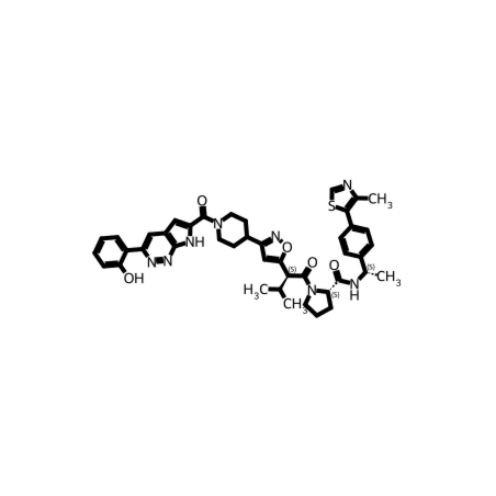 Cc1ncsc1-c1ccc([C@H](C)NC(=O)[C@@H]2CCCN2C(=O)[C@H](c2cc(C3CCN(C(=O)c4cc5cc(-c6ccccc6O)nnc5[nH]4)CC3)no2)C(C)C)cc1